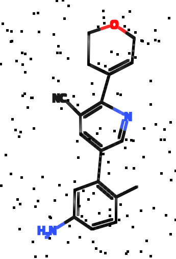 Cc1ccc(N)cc1-c1cnc(C2=CCOCC2)c(C#N)c1